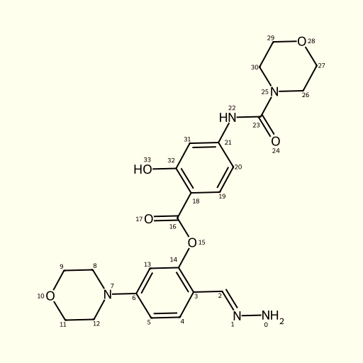 NN=Cc1ccc(N2CCOCC2)cc1OC(=O)c1ccc(NC(=O)N2CCOCC2)cc1O